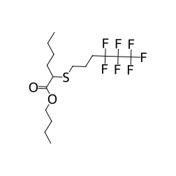 CCCCOC(=O)C(CCCC)SCCCC(F)(F)C(F)(F)C(F)(F)F